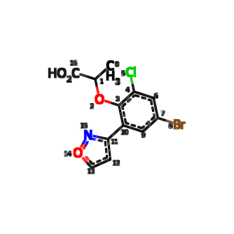 CC(Oc1c(Cl)cc(Br)cc1-c1ccon1)C(=O)O